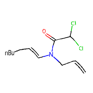 C=CCN(C=CCCCC)C(=O)C(Cl)Cl